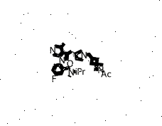 CC(=O)N1CC2(CC(CN3CC[C@H](Cc4cn(-c5ccc(F)cc5C(=O)N(C)C(C)C)c5c4C(C)CN=C5)C3)C2)C1